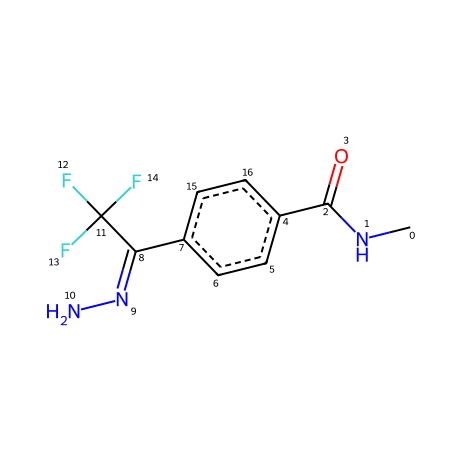 CNC(=O)c1ccc(C(=NN)C(F)(F)F)cc1